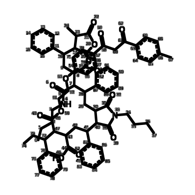 CCCCNC(=O)C(C(CC(c1ccccc1)C1C(=O)OC(=O)C1C)C(=O)O)C(CC1C(=O)N(CCCC)C(=O)C1C(CC(C(=O)O)C(C(=O)OCCOc1ccc(C(=O)CC(=O)c2ccc(C)cc2)cc1)C(CC)c1ccccc1)c1ccccc1)c1ccccc1